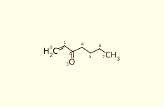 C=CC(=O)CCCC